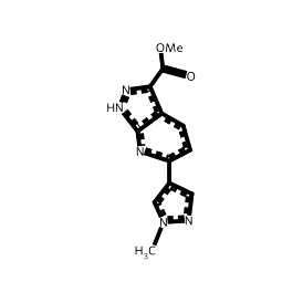 COC(=O)c1n[nH]c2nc(-c3cnn(C)c3)ccc12